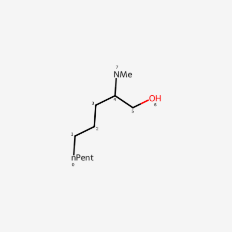 CCCCCCCCC(CO)NC